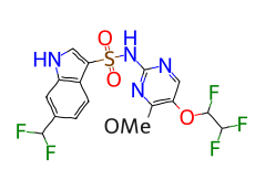 COc1nc(NS(=O)(=O)c2c[nH]c3cc(C(F)F)ccc23)ncc1OC(F)C(F)F